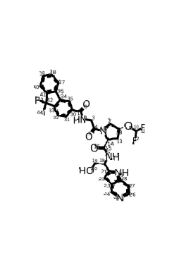 O=C(NCC(=O)N1C[C@H](OC(F)F)C[C@H]1C(=O)N[C@H](CO)c1cc2cnccc2[nH]1)c1ccc2c(c1)-c1ccccc1C2(F)I